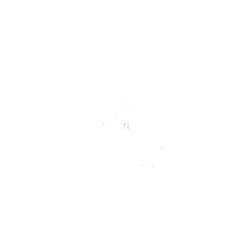 Cc1cc(C)cc(S(=O)(=O)N2CC(C(=O)O)C2)c1